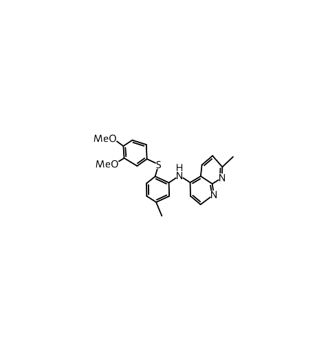 COc1ccc(Sc2ccc(C)cc2Nc2ccnc3nc(C)ccc23)cc1OC